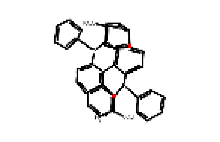 CC(Cc1cccc(P(c2ccccc2)c2ccccc2)c1-c1c(CC(C)C(=O)O)cccc1P(c1ccccc1)c1ccccc1)C(=O)O